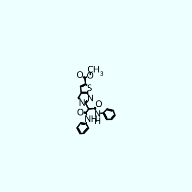 COC(=O)c1cc2cnc(C(C(=O)Nc3ccccc3)C(=O)Nc3ccccc3)nc2s1